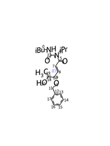 CCC(C)NC(=O)N(C(=O)/C=C/[C@H](OCc1ccccc1)[C@@H](C)O)C(C)C